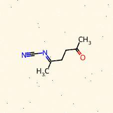 CC(=O)CCC(C)=NC#N